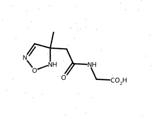 CC1(CC(=O)NCC(=O)O)C=NON1